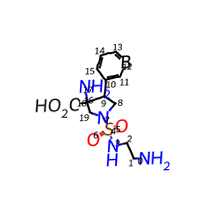 NCCNS(=O)(=O)N1CC(c2cbccc2)C(N)(C(=O)O)C1